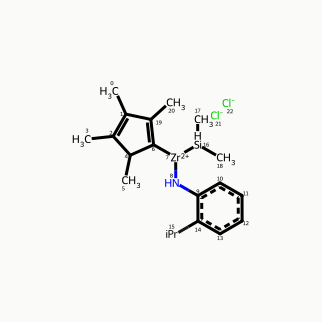 CC1=C(C)C(C)[C]([Zr+2]([NH]c2ccccc2C(C)C)[SiH](C)C)=C1C.[Cl-].[Cl-]